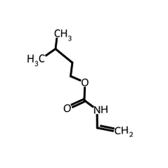 C=CNC(=O)OCCC(C)C